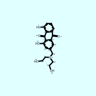 O=C1c2cccc(O)c2C(=O)c2c(O)cc(CN(CCO)CCO)cc21